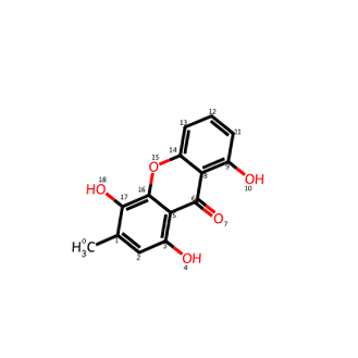 Cc1cc(O)c2c(=O)c3c(O)cccc3oc2c1O